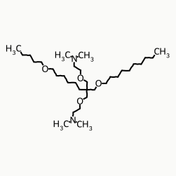 CCCCCCCCCCOCC(CCCCCCOCCCCC)(COCCN(C)C)COCCN(C)C